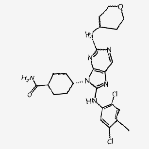 Cc1cc(Cl)c(Nc2nc3cnc(NC4CCOCC4)nc3n2[C@H]2CC[C@H](C(N)=O)CC2)cc1Cl